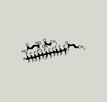 C=CC(=O)O.CC=CC(=O)OC(F)(F)C(F)(F)C(F)(F)C(F)(F)C(F)(F)C(F)(F)C(F)(F)C(F)(F)C(F)(F)C(F)(F)C(F)(F)F.O=C(O)C=CC(=O)O